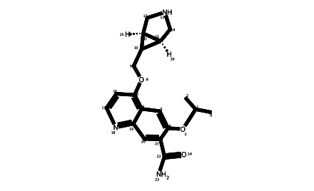 CC(C)Oc1cc2c(OCC3[C@H]4CNC[C@@H]34)ccnc2cc1C(N)=O